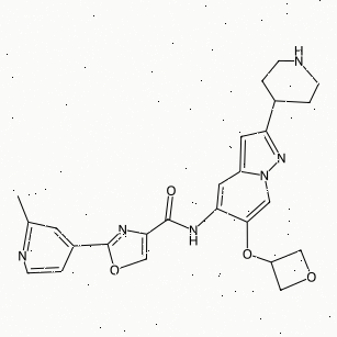 Cc1cc(-c2nc(C(=O)Nc3cc4cc(C5CCNCC5)nn4cc3OC3COC3)co2)ccn1